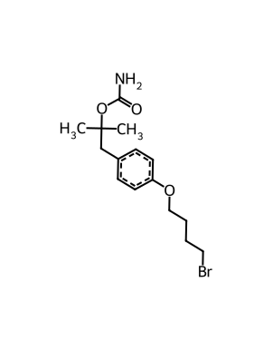 CC(C)(Cc1ccc(OCCCCBr)cc1)OC(N)=O